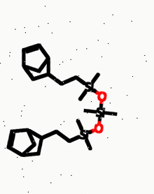 C[Si](C)(CCC1CC2C=CC1C2)O[Si](C)(C)O[Si](C)(C)CCC1CC2C=CC1C2